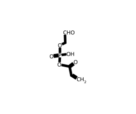 C=CC(=O)OP(=O)(O)OCC=O